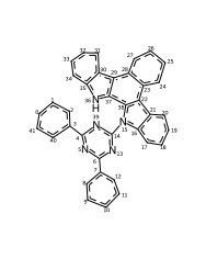 c1ccc(-c2nc(-c3ccccc3)nc(-n3c4ccccc4c4c5ccccc5c5c6ccccc6[nH]c5c43)n2)cc1